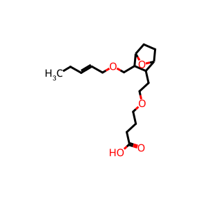 CCC=CCOCC1C2CCC(O2)C1CCOCCCC(=O)O